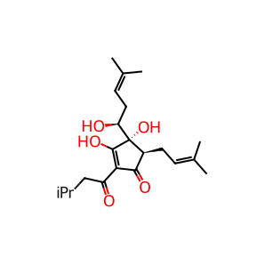 CC(C)=CC[C@H](O)[C@]1(O)C(O)=C(C(=O)CC(C)C)C(=O)[C@@H]1CC=C(C)C